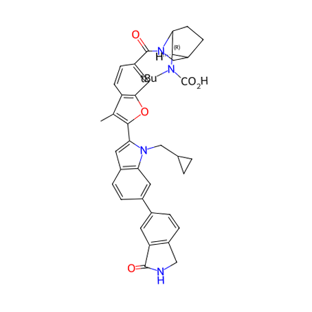 Cc1c(-c2cc3ccc(-c4ccc5c(c4)C(=O)NC5)cc3n2CC2CC2)oc2cc(C(=O)N3CC4CCC3[C@@H]4N(C(=O)O)C(C)(C)C)ccc12